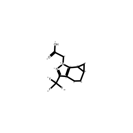 O=C(O)Cn1nc(C(F)(F)F)c2c1C1CC1CC2